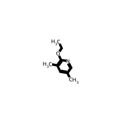 CCOc1ncc(C)cc1C